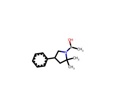 CB(O)N1CC(c2ccccc2)CC1(C)C